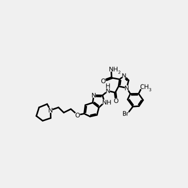 Cc1ccc(Br)cc1-n1cnc(C(N)=O)c1C(=O)Nc1nc2cc(OCCCN3CCCCC3)ccc2[nH]1